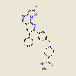 Cc1cc2ncc3cc(-c4ccccc4)c(-c4ccc(CN5CCC(C(=O)NC(C)(C)C)CC5)cc4)nc3n2n1